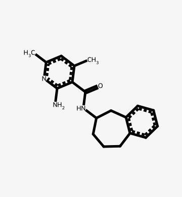 Cc1cc(C)c(C(=O)NC2CCCc3ccccc3C2)c(N)n1